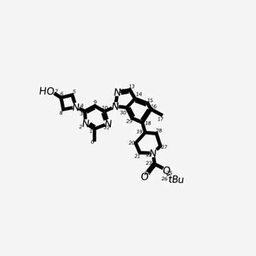 Cc1nc(N2CC(O)C2)cc(-n2ncc3cc(C)c(C4CCN(C(=O)OC(C)(C)C)CC4)cc32)n1